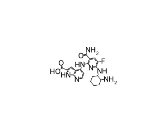 NC(=O)c1cc(F)c(NC2CCCCC2N)nc1Nc1ccnc2[nH]c(C(=O)O)cc12